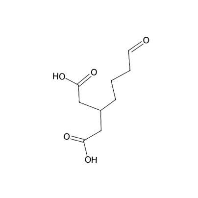 O=CCCCC(CC(=O)O)CC(=O)O